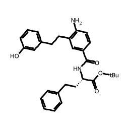 CC(C)(C)OC(=O)[C@H](CCc1ccccc1)NC(=O)c1ccc(N)c(CCc2cccc(O)c2)c1